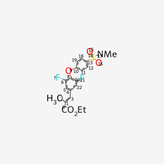 CCOC(=O)/C(C)=C/c1cc(F)c(Oc2ccc(S(=O)(=O)NC)cc2)c(F)c1